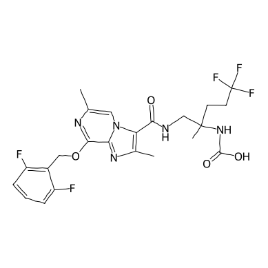 Cc1cn2c(C(=O)NCC(C)(CCC(F)(F)F)NC(=O)O)c(C)nc2c(OCc2c(F)cccc2F)n1